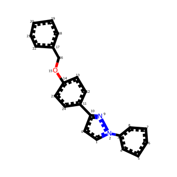 [c]1cn(-c2ccccc2)nc1-c1ccc(OCc2ccccc2)cc1